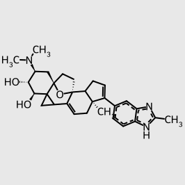 Cc1nc2cc(C3=CCC4[C@]3(C)CC=C3C5CC56[C@@H](O)[C@H](O)[C@@H](N(C)C)C[C@]65CC[C@@]34O5)ccc2[nH]1